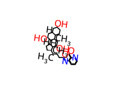 C[C@H](CCc1nc2cccnc2c(=O)o1)[C@H]1CC[C@H]2[C@H]3C(C[C@H](O)[C@]12C)[C@@]1(C)CC[C@@H](O)C[C@H]1C[C@H]3O